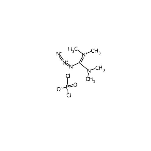 CN(C)C(N=[N+]=[N-])=[N+](C)C.O=P([O-])(Cl)Cl